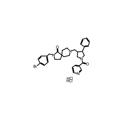 Cl.Cl.O=C(c1cccnc1)N1CC(CN2CCC3(CC2)CCN(Cc2ccc(Br)cc2)C3=O)C(c2ccccc2)C1